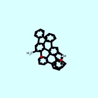 Cc1cc2c(c(-c3c(-c4ccccc4)cc4[se]c5ccccc5c4c3-c3ccccc3-c3ccnnn3)c1C)Cc1ccccc1-2